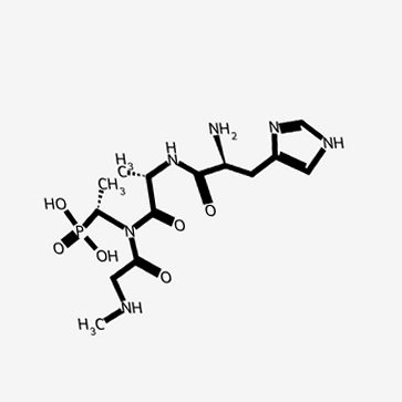 CNCC(=O)N(C(=O)[C@H](C)NC(=O)[C@@H](N)Cc1c[nH]cn1)[C@@H](C)P(=O)(O)O